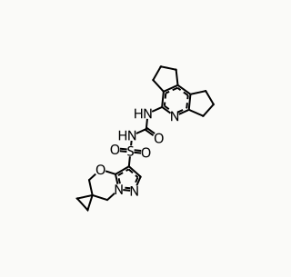 O=C(Nc1nc2c(c3c1CCC3)CCC2)NS(=O)(=O)c1cnn2c1OCC1(CC1)C2